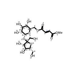 COC(=O)/C=C/C(=O)OC[C@H]1O[C@H](O[C@]2(CO)O[C@H](CO)[C@@H](O)[C@@H]2O)[C@H](O)[C@@H](O)[C@@H]1O